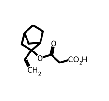 C=CC1(OC(=O)CC(=O)O)CC2CCC1C2